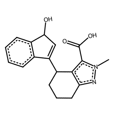 Cn1nc2c(c1C(=O)O)C(C1=CC(O)c3ccccc31)CCC2